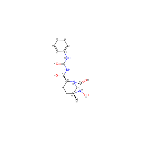 O=C(NC(=O)[C@@H]1CC[C@@H]2CN1C(=O)N2O)Nc1ccccc1